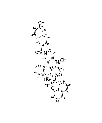 CN(C(=O)c1cc2ccccc2cc1C(=O)C(c1cccc2ccccc12)P(=O)(O)O)C1CCN(C(=O)c2ccc3cc(O)ccc3c2)CC1